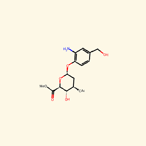 COC(=O)[C@H]1O[C@@H](Oc2ccc(CO)cc2N)C[C@@H](OC(C)=O)[C@@H]1O